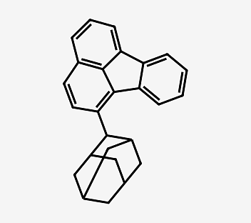 c1ccc2c(c1)-c1cccc3ccc(C4C5CC6CC(C5)CC4C6)c-2c13